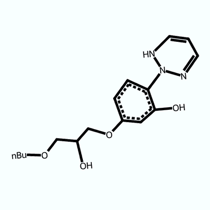 CCCCOCC(O)COc1ccc(N2N=CC=CN2)c(O)c1